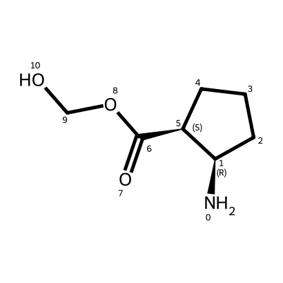 N[C@@H]1CCC[C@@H]1C(=O)OCO